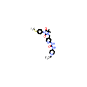 CC1(C)C(=O)N(c2ccc(SC(F)(F)F)cc2)C(=O)N1Cc1ccnc(NC(=O)NC2CCN(CC(F)(F)F)CC2)c1